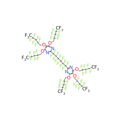 FC(F)(F)C(F)(F)C(F)(F)C(F)(F)COc1nc(C(F)(F)C(F)(F)C(F)(F)C(F)(F)C(F)(F)C(F)(F)c2nc(OCC(F)(F)C(F)(F)C(F)(F)C(F)(F)F)c(OCC(F)(F)C(F)(F)C(F)(F)C(F)(F)F)c(OCC(F)(F)C(F)(F)C(F)(F)C(F)(F)F)n2)nc(OCC(F)(F)C(F)(F)C(F)(F)C(F)(F)F)c1OCC(F)(F)C(F)(F)C(F)(F)C(F)(F)F